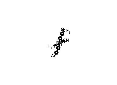 CC(=O)c1ccc(-c2ccc3c(c2)/C(=C\N)c2nc4c(nc2-3)/C(=N/C#N)c2cc(-c3ccc(C(=O)C(F)(F)F)cc3)ccc2-4)cc1